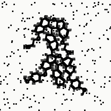 COc1ccc(Oc2ccc3ccc4c(c3c2)C(c2ccc3ccccc3c2)c2c(c(-c3ccc5cc(C6c7c(ccc8ccc(OCCO)cc78)Oc7ccc8ccc(OCCO)cc8c76)ccc5c3)cc3ccc(Oc5ccc(OC)cc5)cc23)O4)cc1